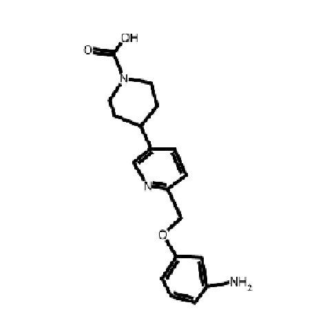 Nc1cccc(OCc2ccc(C3CCN(C(=O)O)CC3)cn2)c1